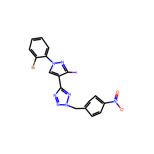 O=[N+]([O-])c1ccc(Cn2nnc(-c3cn(-c4ccccc4Br)nc3I)n2)cc1